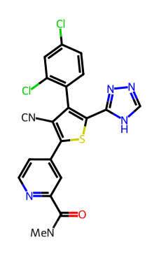 [C-]#[N+]c1c(-c2ccnc(C(=O)NC)c2)sc(-c2nnc[nH]2)c1-c1ccc(Cl)cc1Cl